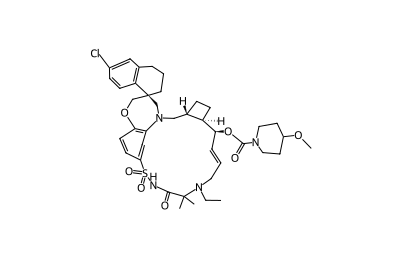 CCN1C/C=C/[C@H](OC(=O)N2CCC(OC)CC2)[C@@H]2CC[C@H]2CN2C[C@@]3(CCCc4cc(Cl)ccc43)COc3ccc(cc32)S(=O)(=O)NC(=O)C1(C)C